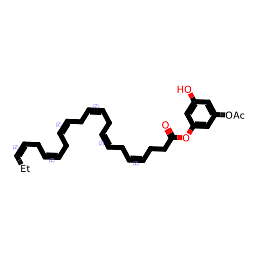 CC/C=C\C/C=C\C/C=C\C/C=C\C/C=C\C/C=C\CCC(=O)Oc1cc(O)cc(OC(C)=O)c1